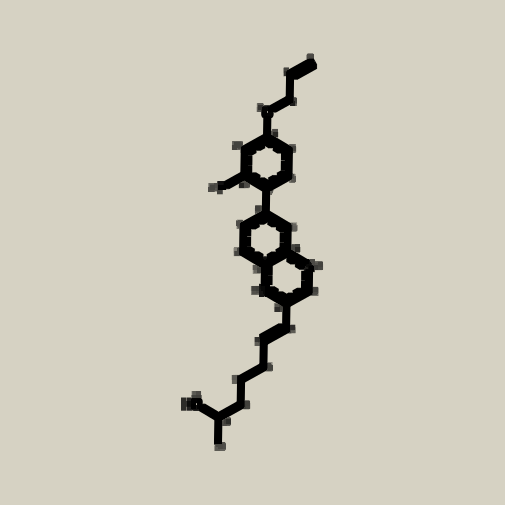 C=CCOc1ccc(-c2ccc3nc(C=CCCCC(C)O)cnc3c2)c(F)c1